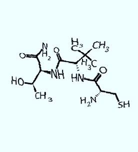 C[C@@H](O)[C@H](NC(=O)[C@@H](NC(=O)[C@@H](N)CS)C(C)(C)C)C(N)=O